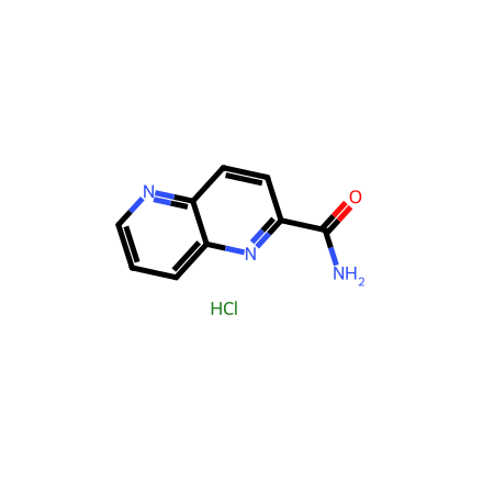 Cl.NC(=O)c1ccc2ncccc2n1